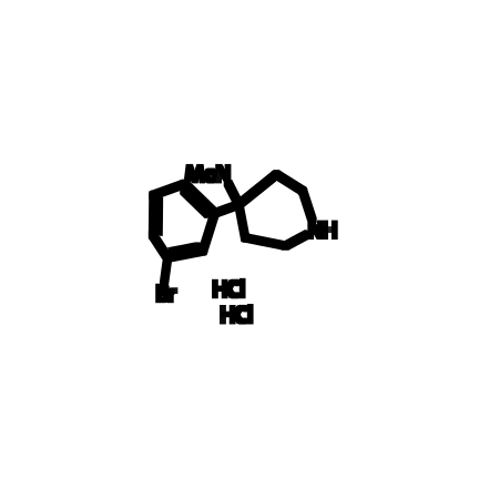 CNC1(c2cccc(Br)c2)CCNCC1.Cl.Cl